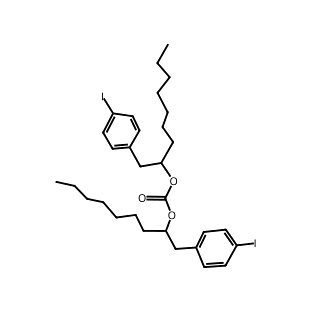 CCCCCCCC(Cc1ccc(I)cc1)OC(=O)OC(CCCCCCC)Cc1ccc(I)cc1